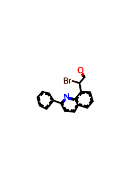 O=CC(Br)c1cccc2ccc(-c3ccccc3)nc12